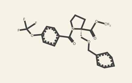 COC(=O)[C@]1(COCc2ccccc2)CCCN1C(=O)c1ccc(OC(F)(F)F)cc1